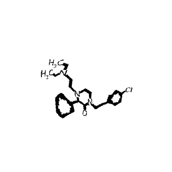 CCN(CC)CCN1CCN(Cc2ccc(Cl)cc2)C(=O)C1c1ccccc1